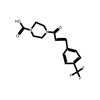 O=C(O)N1CCN(C(=O)C=Cc2ccc(C(F)(F)F)cc2)CC1